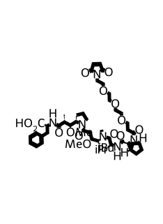 CC[C@H](C)[C@@H]([C@@H](CC(=O)N1CCC[C@H]1[C@H](OC)[C@@H](C)C(=O)N[C@@H](Cc1ccccc1)C(=O)O)OC)N(C)C(=O)[C@@H](NC(=O)[C@@H]1[C@H]2CC[C@H](C2)N1C(=O)CCOCCOCCOCCN1C(=O)C=CC1=O)C(C)C